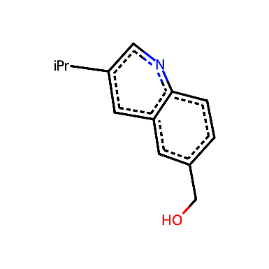 CC(C)c1cnc2ccc(CO)cc2c1